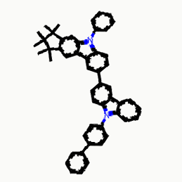 CC1(C)c2cc3c4cc(-c5ccc6c(c5)c5ccccc5n6-c5ccc(-c6ccccc6)cc5)ccc4n(-c4ccccc4)c3cc2C(C)(C)C1(C)C